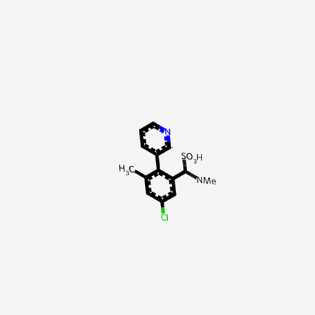 CNC(c1cc(Cl)cc(C)c1-c1[c]nccc1)S(=O)(=O)O